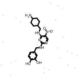 NC1CCC(CNc2nc(NCc3ccc(O)c(O)c3)ncc2[N+](=O)[O-])CC1